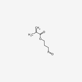 C=C(C)C(=O)OCCCP=O